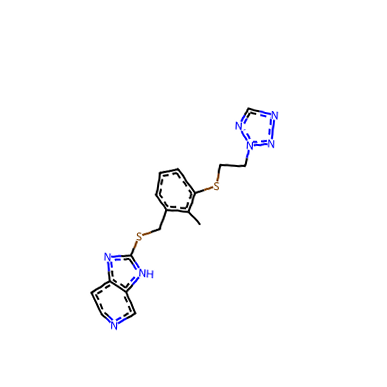 Cc1c(CSc2nc3ccncc3[nH]2)cccc1SCCn1ncnn1